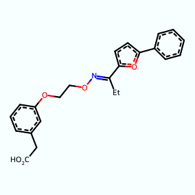 CC/C(=N\OCCOc1cccc(CC(=O)O)c1)c1ccc(-c2ccccc2)o1